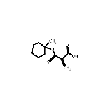 C=C(C(=O)O)C(=O)OC1(C)CCCCC1